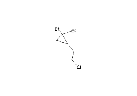 CCC1(CC)CC1CCCl